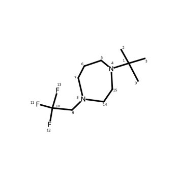 CC(C)(C)N1CCCN(CC(F)(F)F)CC1